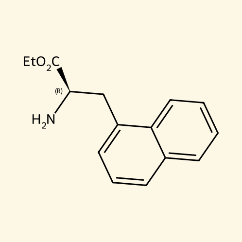 CCOC(=O)[C@H](N)Cc1cccc2ccccc12